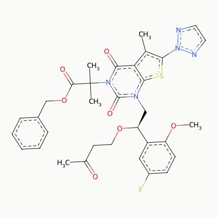 COc1ccc(F)cc1[C@H](Cn1c(=O)n(C(C)(C)C(=O)OCc2ccccc2)c(=O)c2c(C)c(-n3nccn3)sc21)OCCC(C)=O